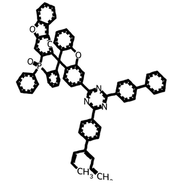 C=C/C=C(\C=C/C)c1ccc(-c2nc(-c3ccc(-c4ccccc4)cc3)nc(-c3ccc4c(c3)Oc3ccccc3C43c4ccccc4P(=O)(c4ccccc4)c4cc5oc6ccccc6c5cc43)n2)cc1